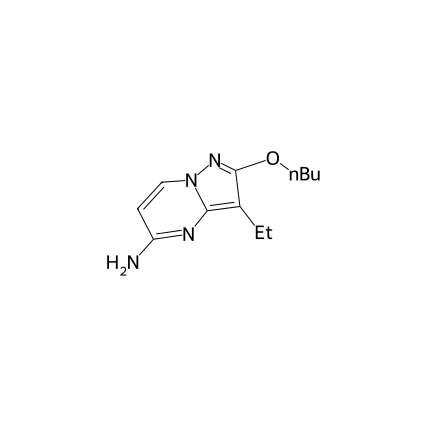 CCCCOc1nn2ccc(N)nc2c1CC